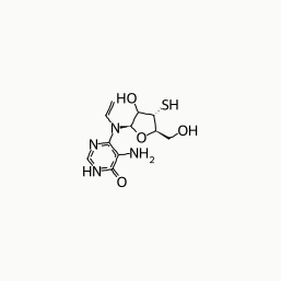 C=CN(c1nc[nH]c(=O)c1N)[C@@H]1O[C@H](CO)[C@@H](S)C1O